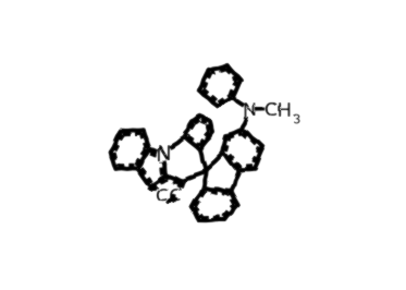 CN(c1ccccc1)c1ccc2c(c1)C1(c3ccccc3-2)c2ccccc2-n2c3ccccc3c3cccc1c32